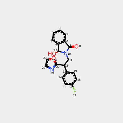 O=C1c2ccccc2C(O)N1CC(c1ccc(F)cc1)c1ncco1